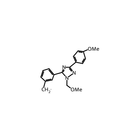 [CH2]c1cccc(-c2nc(-c3ccc(OC)cc3)nn2COC)c1